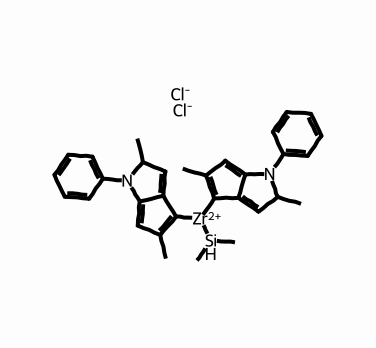 CC1=[C]([Zr+2]([C]2=C(C)C=C3C2=CC(C)N3c2ccccc2)[SiH](C)C)C2=CC(C)N(c3ccccc3)C2=C1.[Cl-].[Cl-]